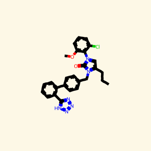 CCCc1cn(-c2c(Cl)cccc2OC)c(=O)n1Cc1ccc(-c2ccccc2-c2nnn[nH]2)cc1